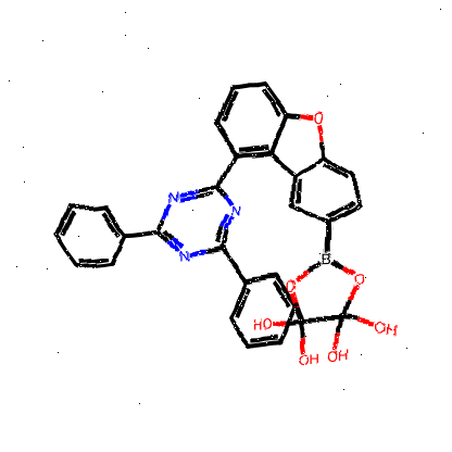 OC1(O)OB(c2ccc3oc4cccc(-c5nc(-c6ccccc6)nc(-c6ccccc6)n5)c4c3c2)OC1(O)O